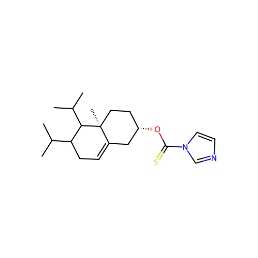 CC(C)C1CC=C2C[C@@H](OC(=S)n3ccnc3)CC[C@]2(C)C1C(C)C